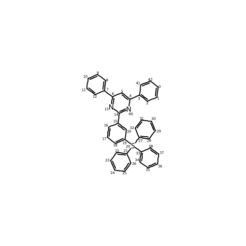 c1ccc(-c2cc(-c3ccccc3)nc(-c3cccc(S(c4ccccc4)(c4ccccc4)c4ccccc4)c3)n2)cc1